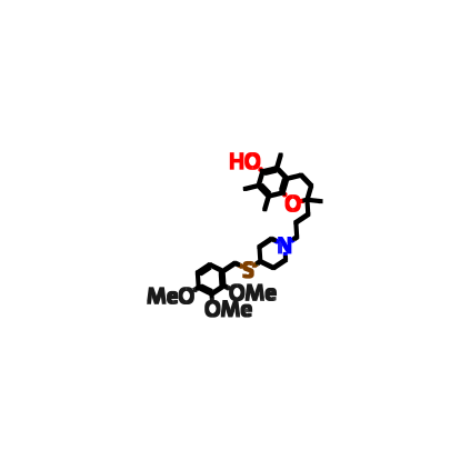 COc1ccc(CSC2CCN(CCCC3(C)CCc4c(C)c(O)c(C)c(C)c4O3)CC2)c(OC)c1OC